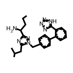 CCCC(N)c1nc(CC(C)C)n(Cc2ccc(-c3ccccc3-c3nnn[nH]3)cc2)n1